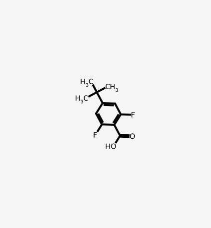 CC(C)(C)c1cc(F)c(C(=O)O)c(F)c1